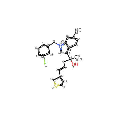 [C-]#[N+]c1ccc2c(C(O)(C/C=C/c3ccsc3)C(F)(F)F)cn(Cc3cccc(F)c3)c2c1